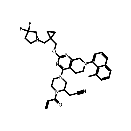 C=CC(=O)N1CCN(c2nc(OCC3(CN4CCC(F)(F)C4)CC3)nc3c2CCN(c2cccc4cccc(C)c24)C3)CC1CC#N